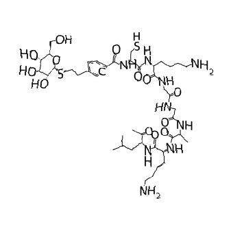 CC(=O)C(CC(C)C)NC(=O)C(CCCCN)NC(=O)C(C)NC(=O)CNC(=O)CNC(=O)C(CCCCN)NC(=O)C(CS)NC(=O)c1ccc(CCS[C@@H]2O[C@H](CO)[C@@H](O)[C@H](O)[C@H]2O)cc1